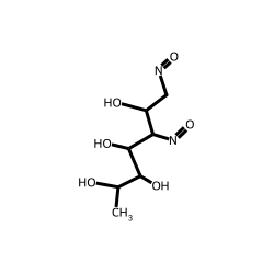 CC(O)C(O)C(O)C(N=O)C(O)CN=O